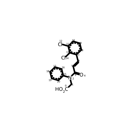 O=C(O)CN(C(=O)/C=C/c1cc[c]c(Cl)c1Cl)c1ccccc1